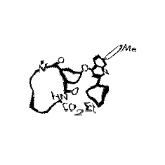 CCOC(=O)C1CCC=CCCCCN(C)C(=O)C2CC(Oc3cc(-c4ccccc4)nc4cc(OC)ccc34)CC2C(=O)N1